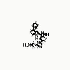 NC1CN(c2cncc(-c3cnc4[nH]nc(-c5cc6c(N7CCCCC7)cncc6[nH]5)c4c3)n2)C1